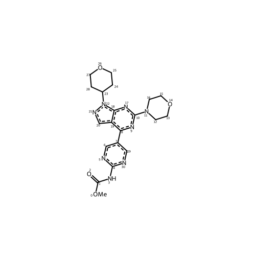 COC(=O)Nc1ncc(-c2nc(N3CCOCC3)nc3c2cnn3C2CCOCC2)cn1